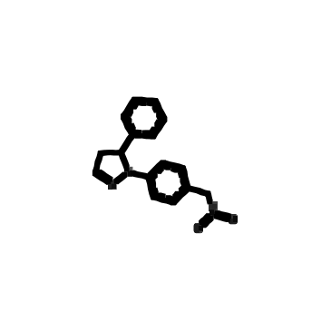 O=[SH](=O)Cc1ccc(N2N=CCC2c2ccccc2)cc1